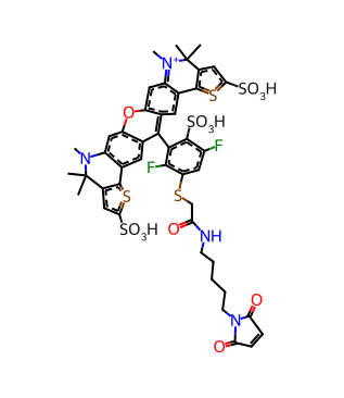 CN1c2cc3c(cc2-c2sc(S(=O)(=O)O)cc2C1(C)C)C(c1c(F)c(SCC(=O)NCCCCCN2C(=O)C=CC2=O)cc(F)c1S(=O)(=O)O)=c1cc2c(cc1O3)=[N+](C)C(C)(C)c1cc(S(=O)(=O)O)sc1-2